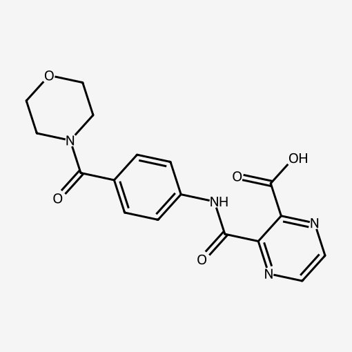 O=C(O)c1nccnc1C(=O)Nc1ccc(C(=O)N2CCOCC2)cc1